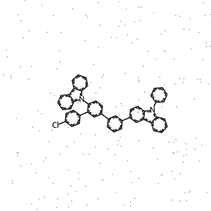 Clc1ccc(-c2cc(-c3cccc(-c4ccc5c(c4)c4ccccc4n5-c4ccccc4)c3)ccc2-n2c3ccccc3c3ccccc32)cc1